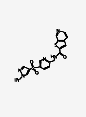 CC(C)n1cc(S(=O)(=O)c2ccc(CNC(=O)c3cc4ccncc4s3)nc2)cn1